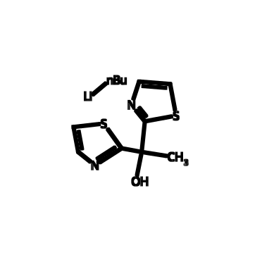 CC(O)(c1nccs1)c1nccs1.[Li][CH2]CCC